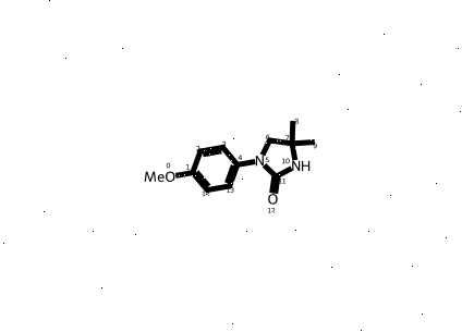 COc1ccc(N2CC(C)(C)NC2=O)cc1